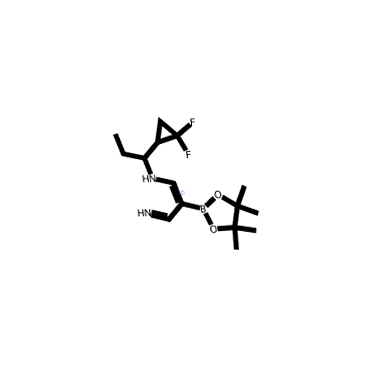 CCC(N/C=C(\C=N)B1OC(C)(C)C(C)(C)O1)C1CC1(F)F